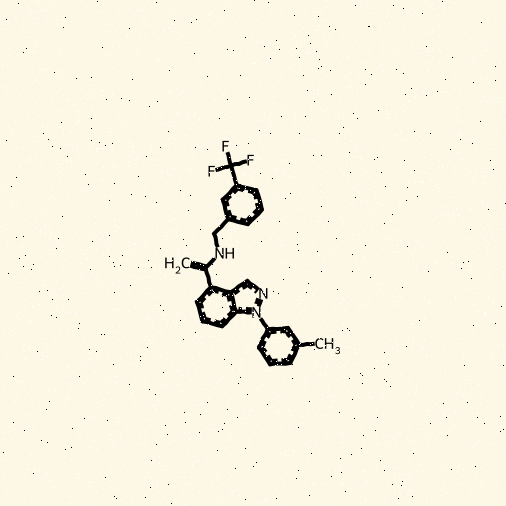 C=C(NCc1cccc(C(F)(F)F)c1)c1cccc2c1cnn2-c1cccc(C)c1